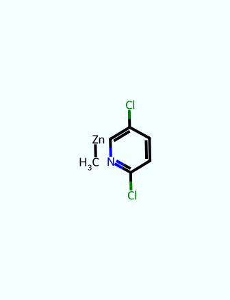 Clc1ccc(Cl)nc1.[CH3][Zn]